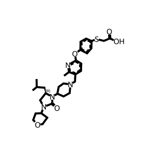 Cc1nc(Oc2ccc(SCC(=O)O)cc2)ccc1CN1CCC(N2C(=O)N(C3CCOCC3)C[C@H]2CC(C)C)CC1